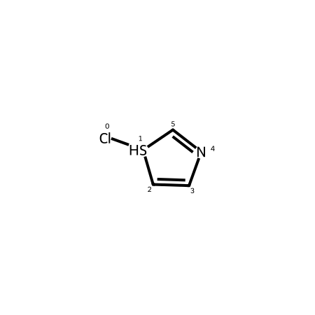 Cl[SH]1C=CN=C1